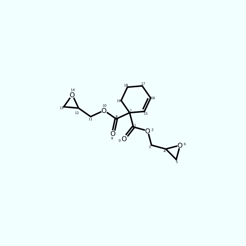 O=C(OCC1CO1)C1(C(=O)OCC2CO2)C=CCCC1